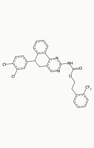 O=C(Nc1ncc2c(n1)-c1ccccc1C(c1ccc(Cl)c(Cl)c1)C2)OCCc1ccccc1C(F)(F)F